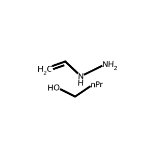 C=CNN.CCCCO